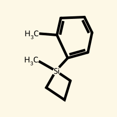 Cc1ccccc1[Si]1(C)CCC1